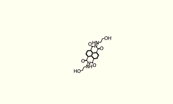 O=C1c2ccc3c4c(ccc(c24)C(=O)N1NCCO)C(=O)N(NCCO)C3=O